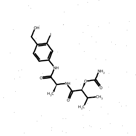 CC(C)[C@H](OC(N)=O)C(=O)N[C@@H](C)C(=O)Nc1ccc(CO)c(I)c1